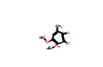 CCCCOc1cc(C)c(Cl)c(Cl)c1OCCCC